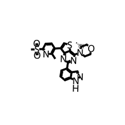 Cc1nc(S(C)(=O)=O)ccc1-c1csc2c(N3CCOC[C@H]3C)nc(-c3cccc4[nH]ncc34)nc12